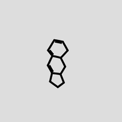 C1=CCC2CC3CCCC3=CC2=C1